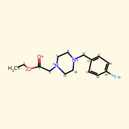 CCOC(=O)CN1CCN(Cc2ccc(F)cc2)CC1